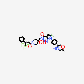 C[C@H]1CN[C@H](c2ccc(-n3c(Cl)cc4c(=O)n(CC5(O)CCN(C(=O)C[C@H](c6ccccc6)C(F)(F)F)CC5)cnc43)cc2)CO1